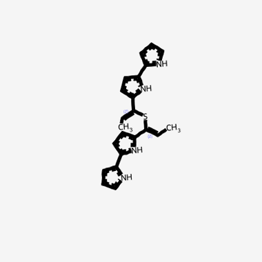 C/C=C(\S/C(=C\C)c1ccc(-c2ccc[nH]2)[nH]1)c1ccc(-c2ccc[nH]2)[nH]1